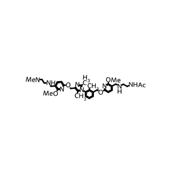 CNCCNCc1ccc(OCc2nc(C)n(-c3cccc(COc4ccc(CNCCNC(C)=O)c(OC)n4)c3C)c2C)nc1OC